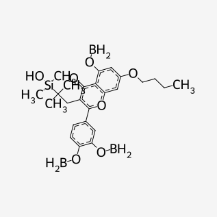 BOc1ccc(-c2oc3cc(OCCCC)cc(OB)c3c(=O)c2CC(C)(C)[Si](C)(C)O)cc1OB